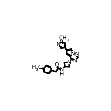 Cc1ccc(CC(=O)NC2CN(c3ncnn4cc(-c5cnn(C)c5)cc34)C2)cc1